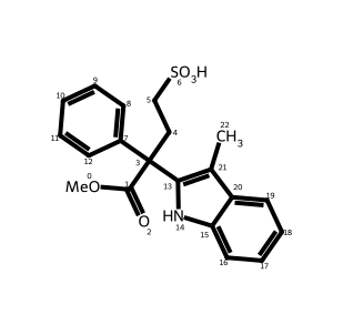 COC(=O)C(CCS(=O)(=O)O)(c1ccccc1)c1[nH]c2ccccc2c1C